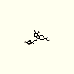 O=C(O)N1CCc2c(n(CCOc3ccc(F)cc3)c3ccc(Cl)c(Cl)c23)CC1